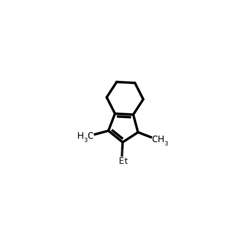 CCC1=C(C)C2=C(CCCC2)[C]1C